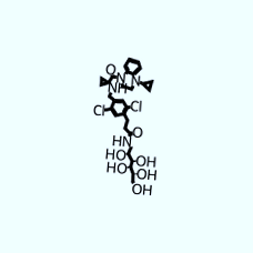 O=C(CCc1cc(Cl)c(CNC2(C(=O)N3CCN(C4CC4)c4ccccc43)CC2)cc1Cl)NC[C@H](O)[C@@H](O)[C@H](O)[C@H](O)CO